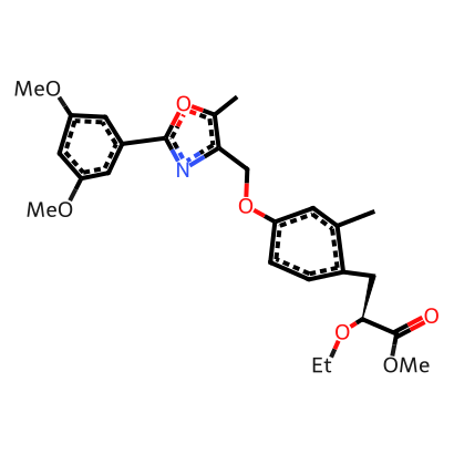 CCO[C@@H](Cc1ccc(OCc2nc(-c3cc(OC)cc(OC)c3)oc2C)cc1C)C(=O)OC